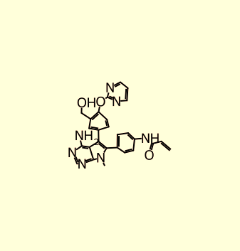 C=CC(=O)Nc1ccc(-c2c(-c3ccc(Oc4ncccn4)c(CO)c3)c3c(N)ncnc3n2C)cc1